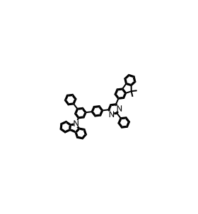 CC1(C)c2ccccc2-c2ccc(-c3cc(-c4ccc(-c5cc(-c6ccccc6)cc(-n6c7ccccc7c7ccccc76)c5)cc4)nc(-c4ccccc4)n3)cc21